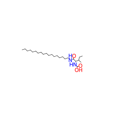 CCCCCCCCCCCCCCCCCCNC(=O)C(NC(=O)O)C(C)CC